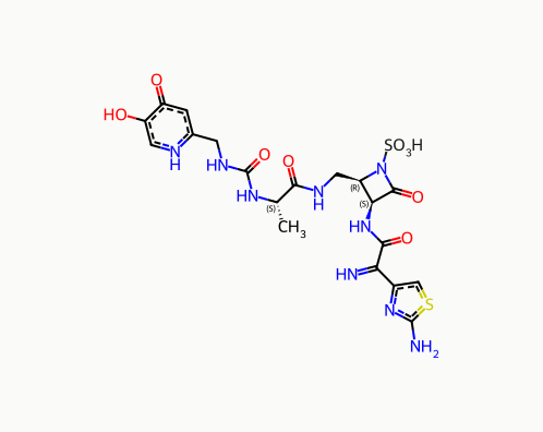 C[C@H](NC(=O)NCc1cc(=O)c(O)c[nH]1)C(=O)NC[C@@H]1[C@H](NC(=O)C(=N)c2csc(N)n2)C(=O)N1S(=O)(=O)O